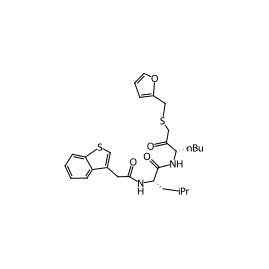 CCCC[C@H](NC(=O)[C@H](CC(C)C)NC(=O)Cc1csc2ccccc12)C(=O)CSCc1ccco1